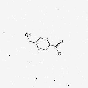 CCC(=O)c1ccc(CO)cc1